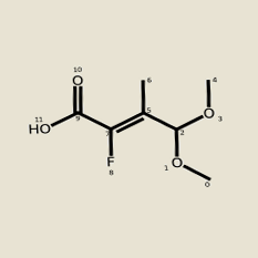 COC(OC)C(C)=C(F)C(=O)O